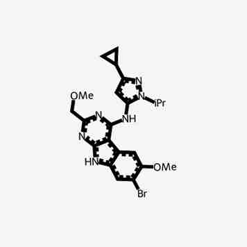 COCc1nc(Nc2cc(C3CC3)nn2C(C)C)c2c(n1)[nH]c1cc(Br)c(OC)cc12